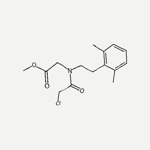 COC(=O)CN(CCc1c(C)cccc1C)C(=O)CCl